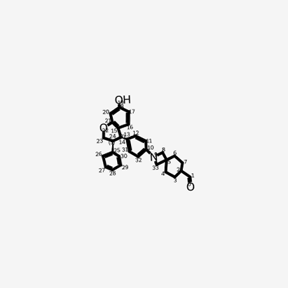 O=CC1CCC2(CC1)CN(c1ccc([C@@H]3c4ccc(O)cc4OC[C@@H]3c3ccccc3)cc1)C2